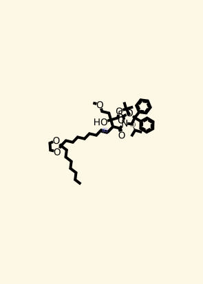 CCCCCCCC1(CCCCCC/C=C/C(C(=O)N2C(=S)OC(c3ccccc3)(c3ccccc3)[C@@H]2C(C)C)C(O)(CCOC)C(=O)OC(C)(C)C)OCCO1